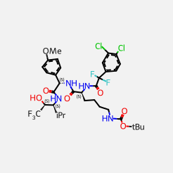 COc1ccc([C@H](NC(=O)[C@H](CCCCNC(=O)OC(C)(C)C)NC(=O)C(F)(F)c2ccc(Cl)c(Cl)c2)C(=O)N[C@@H](C(C)C)[C@H](O)C(F)(F)F)cc1